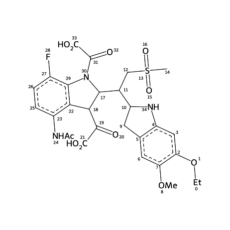 CCOc1cc2c(cc1OC)CC(C(CS(C)(=O)=O)C1C(C(=O)C(=O)O)c3c(NC(C)=O)ccc(F)c3N1C(=O)C(=O)O)N2